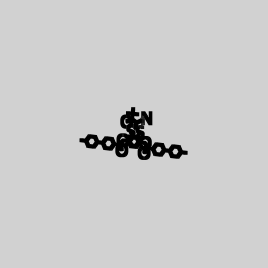 CC1CCC(C2CCC(C(=O)Oc3ccc(OC(=O)C4CCC(C5CCC(C)CC5)CC4)c4c3SC(=C(C#N)C(=O)C(C)(C)C)S4)CC2)CC1